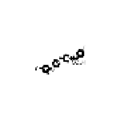 Cc1cc(Cl)ccc1OC1CCN(CC2CCN(C(C)(Cc3ccc(F)cc3)C(=O)O)CC2)CC1